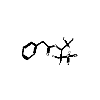 O=C(Cc1ccccc1)OC(C(F)(F)F)C(F)(F)S(=O)(=O)O